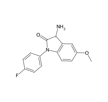 COc1ccc2c(c1)[C](N)C(=O)N2c1ccc(F)cc1